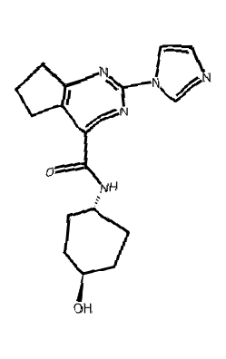 O=C(N[C@H]1CC[C@H](O)CC1)c1nc(-n2ccnc2)nc2c1CCC2